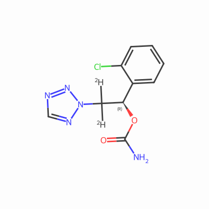 [2H]C([2H])([C@H](OC(N)=O)c1ccccc1Cl)n1ncnn1